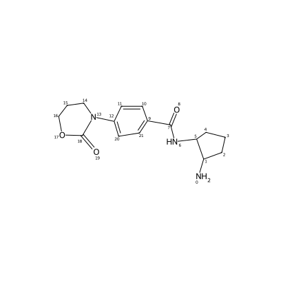 NC1CCCC1NC(=O)c1ccc(N2CCCOC2=O)cc1